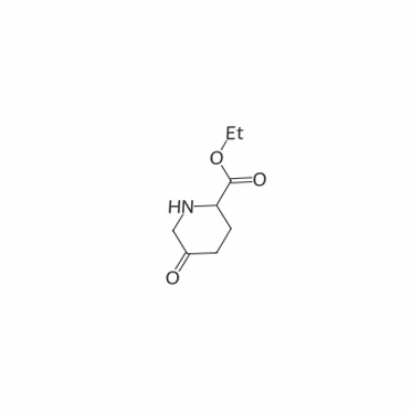 CCOC(=O)C1CCC(=O)CN1